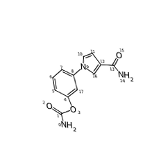 NC(=O)Oc1cccc(-n2ccc(C(N)=O)c2)c1